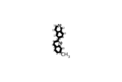 Cc1ccc2ccc(-c3ccc4cnccc4c3)nc2c1